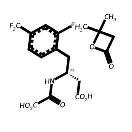 CC1(C)CC(=O)O1.O=C(O)C[C@@H](Cc1ccc(C(F)(F)F)cc1F)NC(=O)C(=O)O